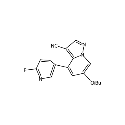 CC(C)COc1cc(-c2ccc(F)nc2)c2c(C#N)cnn2c1